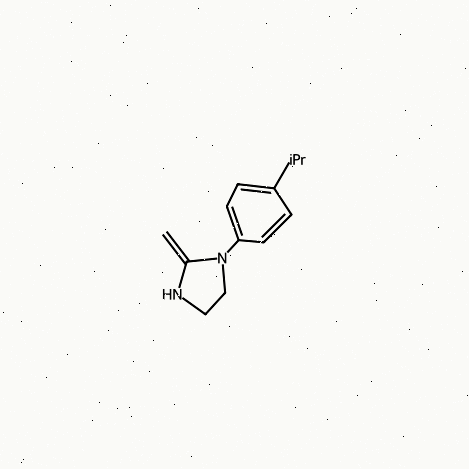 C=C1NCCN1c1ccc(C(C)C)cc1